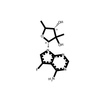 CC1O[C@@H](n2cc(F)c3c(N)ncnc32)C(C)(O)[C@H]1O